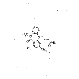 CCN(CC)CCCN1c2ccccc2N(C)C(=O)c2ccc(C)nc21.Cl